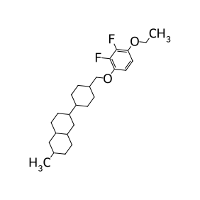 CCOc1ccc(OCC2CCC(C3CCC4CC(C)CCC4C3)CC2)c(F)c1F